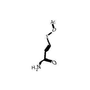 CC(=O)OSC=CC(N)=O